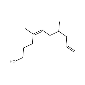 C=CCC(C)CC=C(C)CCCO